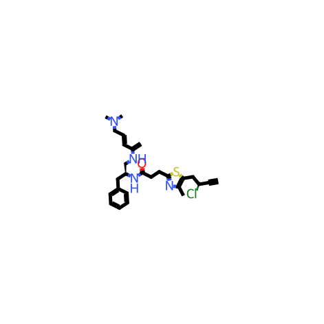 C#C[C@@H](Cl)Cc1sc(CCC(=O)N[C@H](CNC(=C)/C=C/CN(C)C)Cc2ccccc2)nc1C